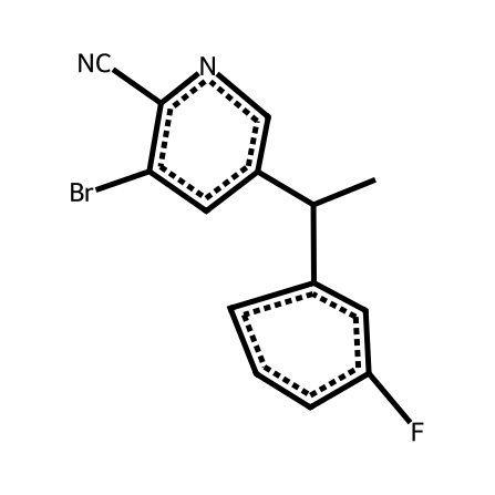 CC(c1cccc(F)c1)c1cnc(C#N)c(Br)c1